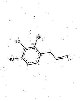 C=CCc1ccc(O)c(O)c1N